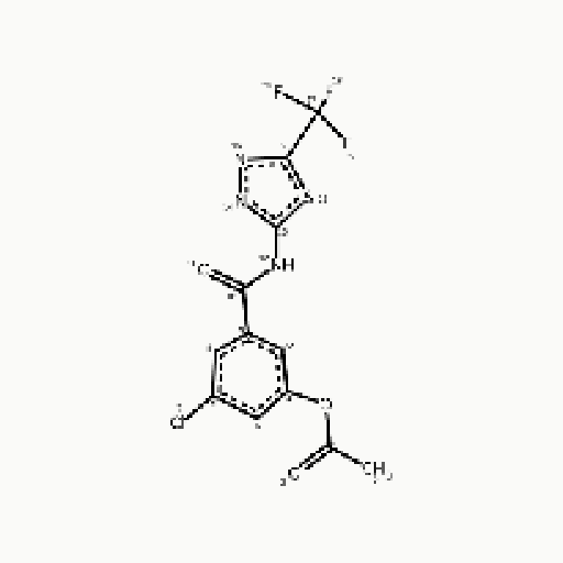 CC(=O)Oc1cc(Cl)cc(C(=O)Nc2nnc(C(F)(F)F)s2)c1